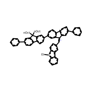 CCCCCCCCC1(CCCCCCCC)c2cc(-c3ccccc3)ccc2-c2ccc(-c3ccc4c(c3)/C(=C\c3ccc5c(c3)c3ccccc3n5CC)c3cc(-c5ccccc5)ccc3-4)cc21